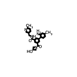 Cc1ccc(-c2cc(C(=O)NCc3ccc(C)nc3)cc(C(=O)N3CC(O)C3)c2)c(N)c1